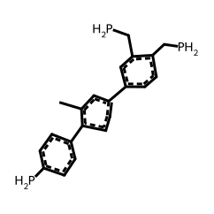 Cc1cc(-c2ccc(CP)c(CP)c2)ccc1-c1ccc(P)cc1